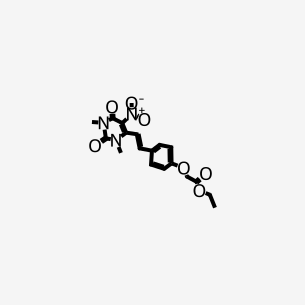 CCOC(=O)COc1ccc(/C=C/c2c([N+](=O)[O-])c(=O)n(C)c(=O)n2C)cc1